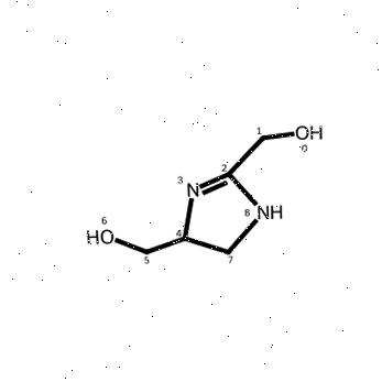 OCC1=NC(CO)CN1